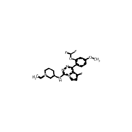 CCN1CCCC(Nc2nnc(-c3ccc(OC)cc3OC(F)F)c3c(F)ccn23)C1